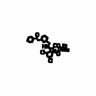 CCOC(=O)c1c(NCc2cccc(CC(=O)c3ccccc3)c2)c2c(Cl)cc(Cl)cc2n1C(=O)OC(C)(C)C